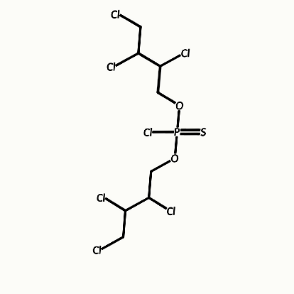 S=P(Cl)(OCC(Cl)C(Cl)CCl)OCC(Cl)C(Cl)CCl